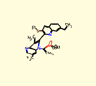 C=Cc1ccc2cc(SCC)c(-c3c(C)c4ncc(C(F)(F)F)cc4n3C(=C)OC(C)(C)C)nc2c1